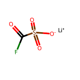 O=C(F)S(=O)(=O)[O-].[Li+]